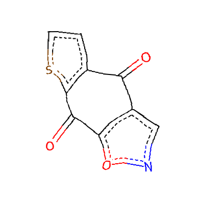 O=C1c2cnoc2C(=O)c2sccc21